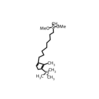 CO[Si](C)(CCCCCCCCC1=CC[C]([Pt]([CH3])([CH3])[CH3])=C1C)OC